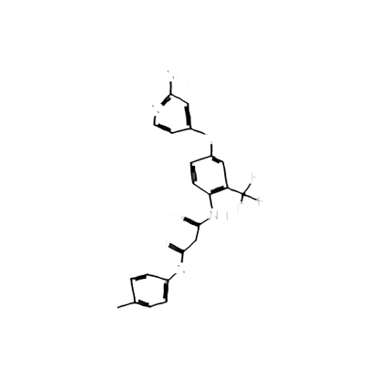 Nc1cc(Oc2ccc(NC(=O)CC(=O)Nc3ccc(F)cc3)c(C(F)(F)F)c2)ccn1